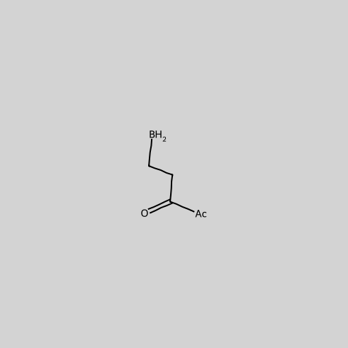 BCCC(=O)C(C)=O